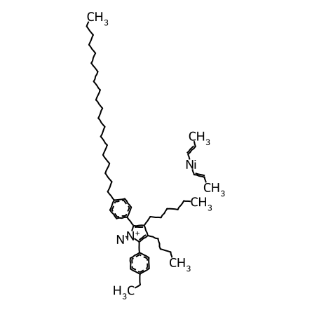 CC=[CH][Ni][CH]=CC.CCCCCCCCCCCCCCCCCCCCc1ccc(C2=C(CCCCCC)C(CCCC)=C(c3ccc(CC)cc3)[N+]2=[N-])cc1